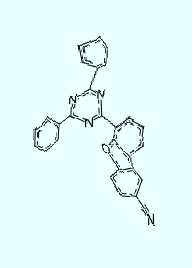 N#Cc1ccc2oc3c(-c4nc(-c5ccccc5)nc(-c5ccccc5)n4)cccc3c2c1